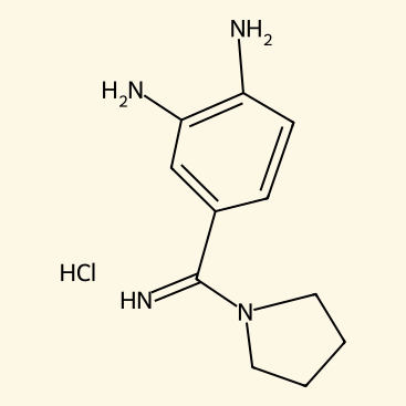 Cl.N=C(c1ccc(N)c(N)c1)N1CCCC1